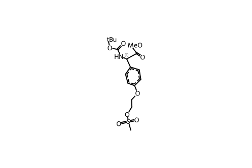 COC(=O)[C@H](NC(=O)OC(C)(C)C)c1ccc(OCCOS(C)(=O)=O)cc1